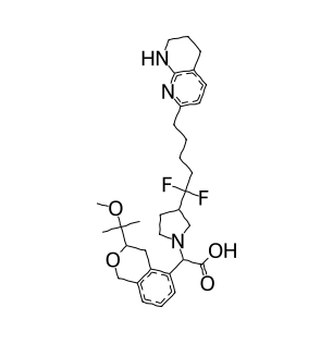 COC(C)(C)C1Cc2c(cccc2C(C(=O)O)N2CCC(C(F)(F)CCCCc3ccc4c(n3)NCCC4)C2)CO1